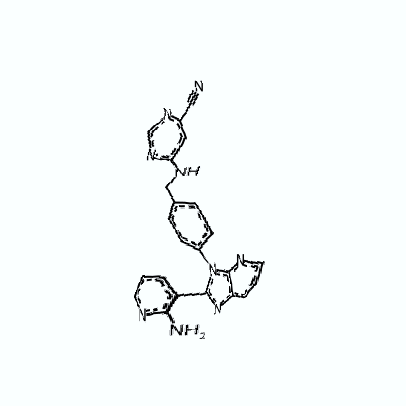 N#Cc1cc(NCc2ccc(-n3c(-c4cccnc4N)nc4cccnc43)cc2)ncn1